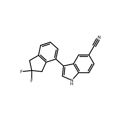 N#Cc1ccc2[nH]cc(-c3cccc4c3CC(F)(F)C4)c2c1